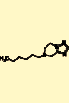 CCCCCCN1CCn2ncnc2C1